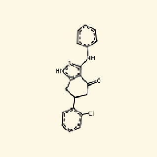 O=C1CC(c2ccccc2Cl)Cc2[nH]nc(Nc3ccccc3)c21